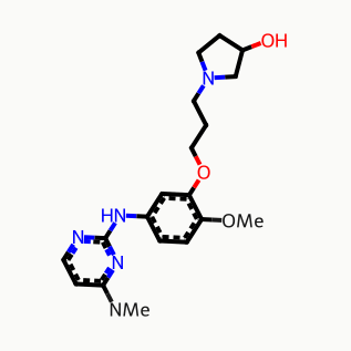 CNc1ccnc(Nc2ccc(OC)c(OCCCN3CCC(O)C3)c2)n1